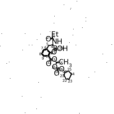 CCC(=O)NC1Cc2cccc(C(=O)OC(C)OC(=O)OC3CCCCC3)c2OB1O